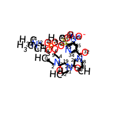 C#CCN(CCOP(=O)([O-])OCC[N+](C)(C)C)C(=O)CN(CC#C)C(=O)CN(CC#C)C(=O)c1cnc(S(C)(=O)=O)c([N+](=O)[O-])c1